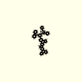 CC1(C)c2cc3c4ccccc4c4ccccc4c3cc2-c2cc3c4ccccc4c4cc(-c5cc(-c6nc(-c7ccccc7)nc(-c7ccccc7)n6)cc(-n6c7ccccc7c7ccccc76)c5)ccc4c3cc21